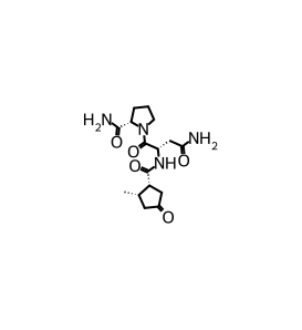 C[C@H]1CC(=O)C[C@H]1C(=O)N[C@@H](CC(N)=O)C(=O)N1CCC[C@H]1C(N)=O